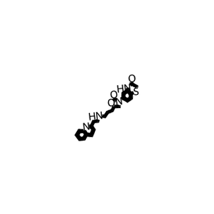 O=C1CSc2ccc(N3CC(CCCNCCc4ccc5ccccc5n4)OC3=O)cc2N1